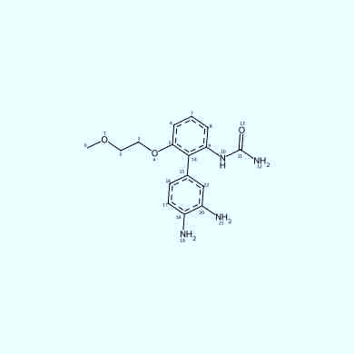 COCCOc1cccc(NC(N)=O)c1-c1ccc(N)c(N)c1